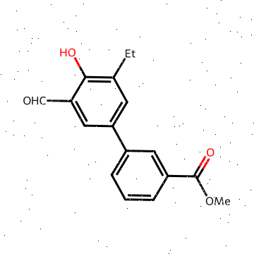 CCc1cc(-c2cccc(C(=O)OC)c2)cc(C=O)c1O